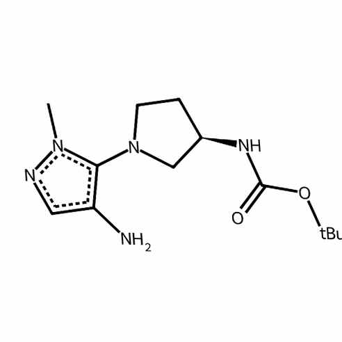 Cn1ncc(N)c1N1CC[C@@H](NC(=O)OC(C)(C)C)C1